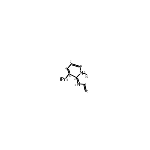 C=C/N=c1/c(C(C)C)cccn1C